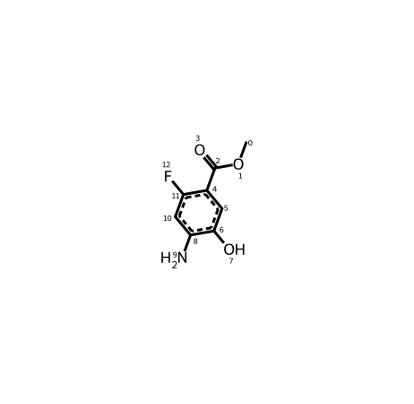 COC(=O)c1cc(O)c(N)cc1F